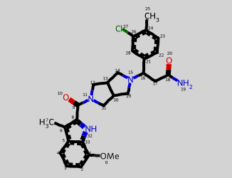 COc1cccc2c(C)c(C(=O)N3CC4CN(C(CC(N)=O)c5ccc(C)c(Cl)c5)CC4C3)[nH]c12